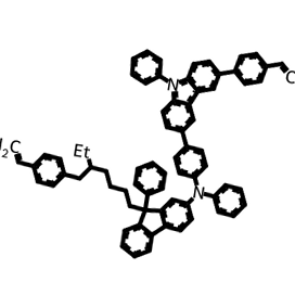 C=Cc1ccc(CC(CC)CCCCC2(c3ccccc3)c3ccccc3-c3ccc(N(c4ccccc4)c4ccc(-c5ccc6c(c5)c5cc(-c7ccc(C=C)cc7)ccc5n6-c5ccccc5)cc4)cc32)cc1